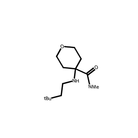 CNC(=O)C1(NCCC(C)(C)C)CCOCC1